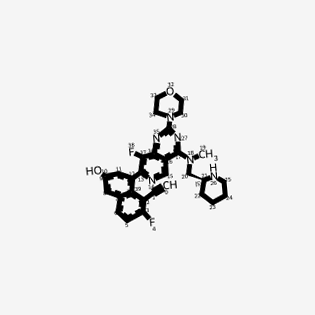 C#Cc1c(F)ccc2cc(O)cc(-c3ncc4c(N(C)C[C@@H]5CCCCN5)nc(N5CCOCC5)nc4c3F)c12